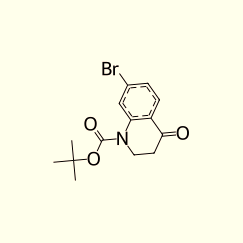 CC(C)(C)OC(=O)N1CCC(=O)c2ccc(Br)cc21